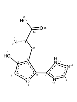 N[C@@H](Cc1c(O)noc1-c1nnn[nH]1)C(=O)O